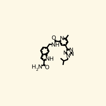 Cc1cc(-c2nnn(CC(C)C)n2)cc(C(=O)NCc2ccc3cc(C(N)=O)[nH]c3c2)n1